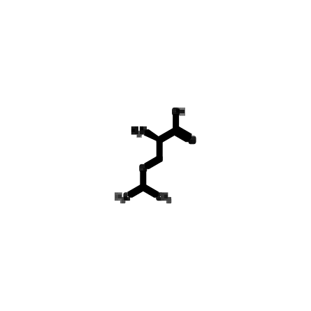 CC(C)OC[C@@H](N)C(=O)O